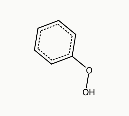 OOc1ccccc1